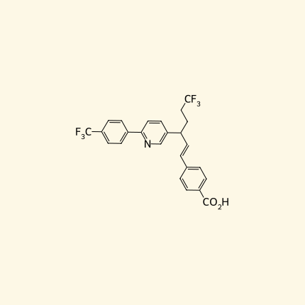 O=C(O)c1ccc(C=CC(CCC(F)(F)F)c2ccc(-c3ccc(C(F)(F)F)cc3)nc2)cc1